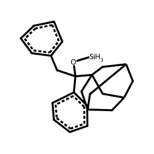 [SiH3]OC(Cc1ccccc1)(c1ccccc1)C12CC3CC(CC(C3)C1)C2